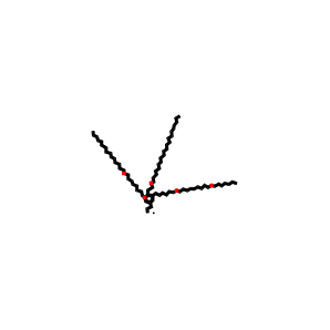 [CH2]CCc1cc(CCCCCCCCCCCCCCCCCCCCCCCC)c(CCCCCCCCCCCCCCCCCCCCCCCC)c(CCCCCCCCCCCCCCCCCCCCCCCC)c1